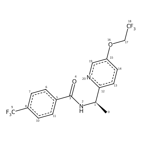 C[C@@H](NC(=O)c1ccc(C(F)(F)F)cc1)c1ccc(OCC(F)(F)F)cn1